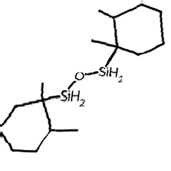 CC1CCCCC1(C)[SiH2]O[SiH2]C1(C)CCCCC1C